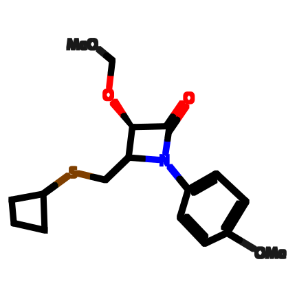 COCO[C@H]1C(=O)N(c2ccc(OC)cc2)C1CSC1CCC1